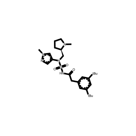 CN1CCC[C@@H]1CN(c1cnn(C)c1)S(=O)(=O)NC(=O)Cc1cc(C(C)(C)C)cc(C(C)(C)C)c1